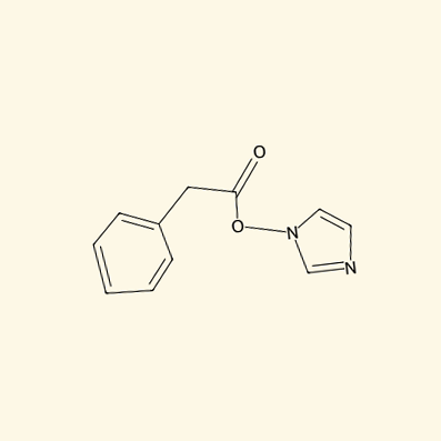 O=C(Cc1ccccc1)On1ccnc1